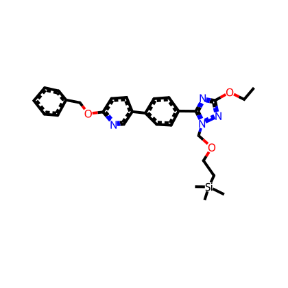 CCOc1nc(-c2ccc(-c3ccc(OCc4ccccc4)nc3)cc2)n(COCC[Si](C)(C)C)n1